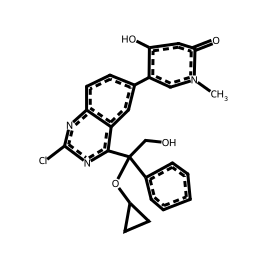 Cn1cc(-c2ccc3nc(Cl)nc(C(CO)(OC4CC4)c4ccccc4)c3c2)c(O)cc1=O